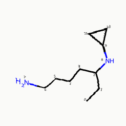 CCC(CCCCN)NC1CC1